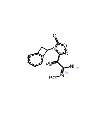 N=C(/C(N)=N\O)c1noc(=O)n1C1Cc2ccccc21